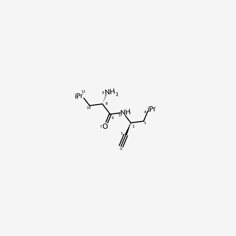 C#C[C@H](CC(C)C)NC(=O)[C@@H](N)CC(C)C